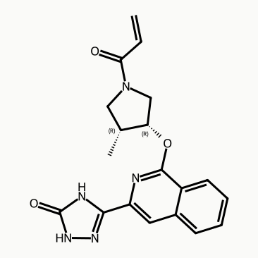 C=CC(=O)N1C[C@@H](C)[C@@H](Oc2nc(-c3n[nH]c(=O)[nH]3)cc3ccccc23)C1